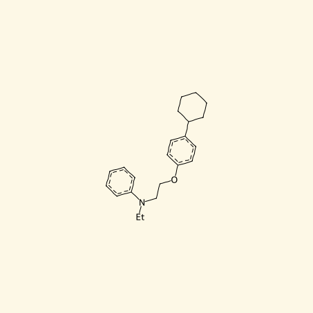 CCN(CCOc1ccc(C2CCCCC2)cc1)c1ccccc1